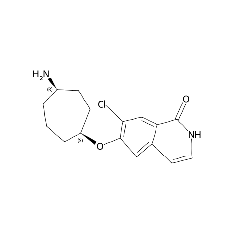 N[C@@H]1CCC[C@H](Oc2cc3cc[nH]c(=O)c3cc2Cl)CC1